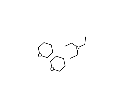 C1CCOCC1.C1CCOCC1.CCN(CC)CC